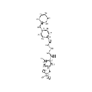 Cn1nc(CS(C)(=O)=O)nc1NCCCOc1ccc(CN2CCCCC2)cc1